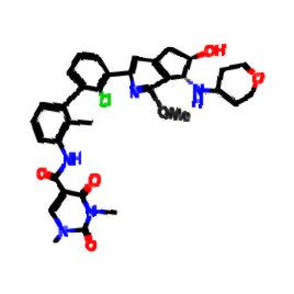 COc1nc(-c2cccc(-c3cccc(NC(=O)c4cn(C)c(=O)n(C)c4=O)c3C)c2Cl)cc2c1[C@@H](NC1CCOCC1)[C@H](O)C2